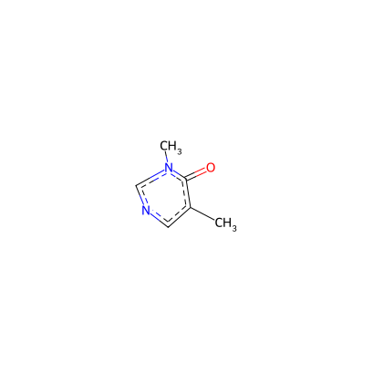 Cc1cncn(C)c1=O